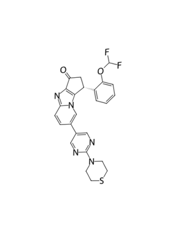 O=C1C[C@H](c2ccccc2OC(F)F)c2c1nc1ccc(-c3cnc(N4CCSCC4)nc3)cn21